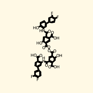 O=C(OOC(=O)c1cc(C(=O)Nc2cc(-c3ccc(F)c(F)c3)ccc2C(=O)O)c(C(=O)O)cc1O)c1cc(C(=O)O)c(C(=O)Nc2cc(-c3ccc(F)c(F)c3)ccc2O)cc1O